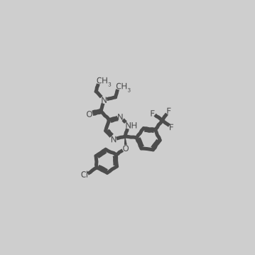 CCN(CC)C(=O)C1=NN[C@](Oc2ccc(Cl)cc2)(c2cccc(C(F)(F)F)c2)N=C1